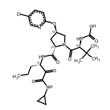 CCC[C@H](NC(=O)[C@@H]1C[C@@H](Oc2ccc(Cl)cn2)CN1C(=O)[C@@H](NC(=O)O)C(C)(C)C)C(=O)C(=O)NC1CC1